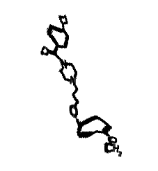 COc1ccc(OCCCN2CCN(C(=O)c3ccc(Cl)cc3)CC2)cc1